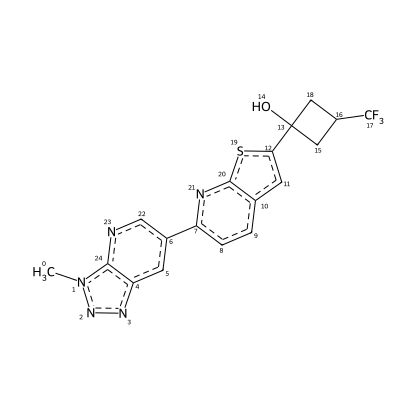 Cn1nnc2cc(-c3ccc4cc(C5(O)CC(C(F)(F)F)C5)sc4n3)cnc21